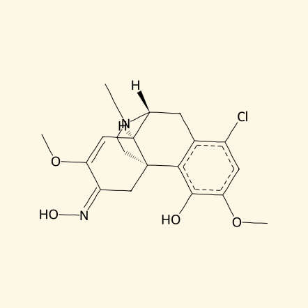 COC1=C[C@H]2[C@H]3Cc4c(Cl)cc(OC)c(O)c4[C@@]2(CCN3C)C/C1=N/O